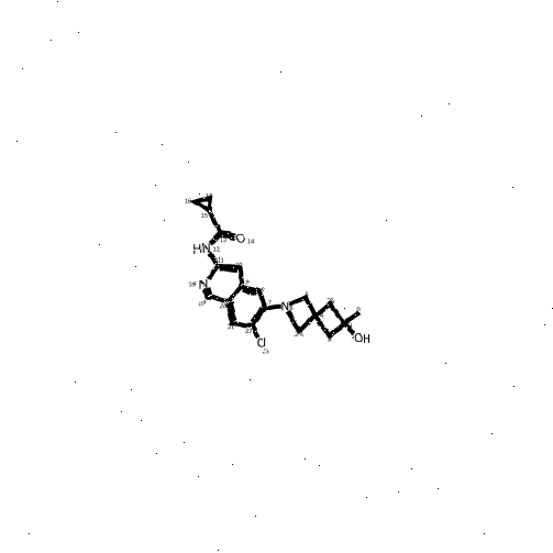 CC1(O)CC2(CN(c3cc4cc(NC(=O)C5CC5)ncc4cc3Cl)C2)C1